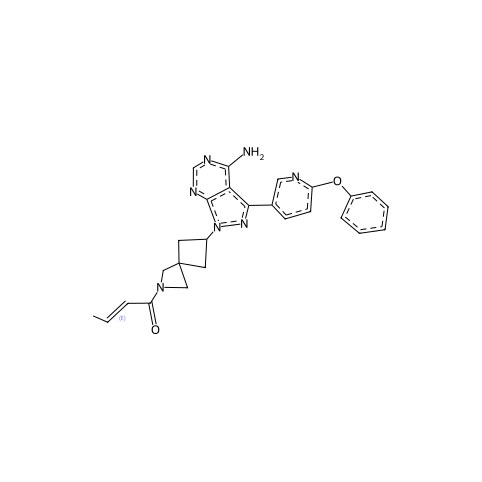 C/C=C/C(=O)N1CC2(CC(n3nc(-c4ccc(Oc5ccccc5)nc4)c4c(N)ncnc43)C2)C1